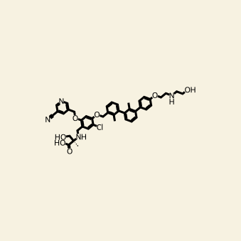 Cc1c(COc2cc(OCc3cncc(C#N)c3)c(CN[C@](C)(CO)C(=O)O)cc2Cl)cccc1-c1cccc(-c2ccc(OCCNCCO)cc2)c1C